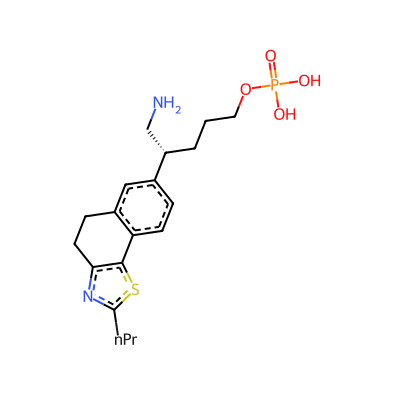 CCCc1nc2c(s1)-c1ccc([C@H](CN)CCCOP(=O)(O)O)cc1CC2